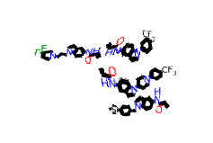 C=CC(=O)Nc1ccc2c(ccn2-c2cccc(C(F)(F)F)c2)c1.C=CC(=O)Nc1ccc2c(ccn2C2CCN(c3ccc(C(F)(F)F)cc3)CC2)c1.C=CC(=O)Nc1ccc2c(ccn2CCCN2CCC(F)(F)C2)c1.C=CC(=O)Nc1ccc2c(ccn2Cc2ccc([Si](C)(C)C)cc2)c1